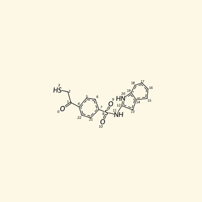 O=C(CS)c1ccc(S(=O)(=O)Nc2cc3ccccc3[nH]2)cc1